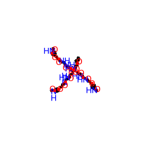 CC(=O)Nc1ccc(OCCCC(=O)NCCCNC(=O)CCOCC(COCCC(=O)NCCCNC(=O)CCCOc2ccc(NC(C)=O)cc2)(COCCC(=O)NCCCNC(=O)CCCOc2ccc(NC(C)=O)cc2)NC(=O)CCC(C)CC(C)C(=O)C(C)(C)C)cc1